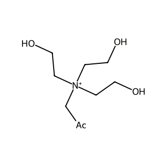 CC(=O)C[N+](CCO)(CCO)CCO